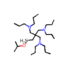 CCCN(CCC)CC(C[SiH2]OC(C)C)(CN(CCC)CCC)CN(CCC)CCC